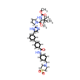 COC(=O)N[C@H](C(=O)N1CCC[C@H]1c1ncc(-c2cccc(-c3ccc(C(=O)Nc4ccc(CN5CCS(=O)(=O)CC5)cc4)cc3)c2)[nH]1)C(C)(C)C